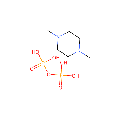 CN1CCN(C)CC1.O=P(O)(O)OP(=O)(O)O